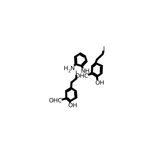 Nc1ccccc1N.O=Cc1cc(CCI)ccc1O.O=Cc1cc(CCI)ccc1O